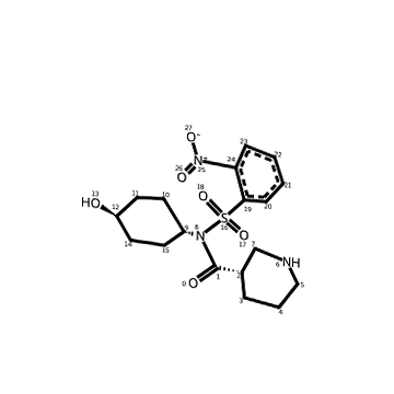 O=C([C@H]1CCCNC1)N([C@H]1CC[C@H](O)CC1)S(=O)(=O)c1ccccc1[N+](=O)[O-]